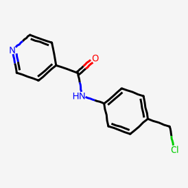 O=C(Nc1ccc(CCl)cc1)c1ccncc1